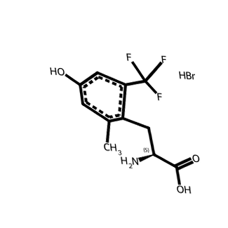 Br.Cc1cc(O)cc(C(F)(F)F)c1C[C@H](N)C(=O)O